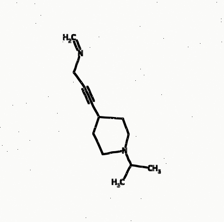 C=NCC#CC1CCN(C(C)C)CC1